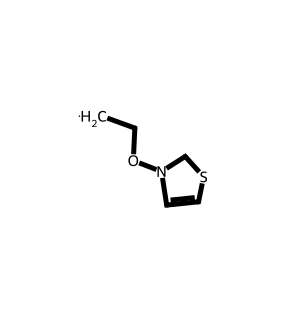 [CH2]CON1C=CSC1